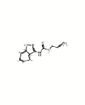 C=CCNC(=S)Nc1noc2ccccc12